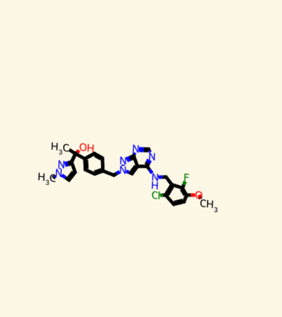 COc1ccc(Cl)c(CNc2ncnc3nn(Cc4ccc(C(C)(O)c5ccn(C)n5)cc4)cc23)c1F